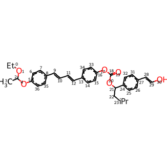 CCOC(C)Oc1ccc(C=CC=Cc2ccc(OC(=O)OC(CC(C)C)c3ccc(C=CO)cc3)cc2)cc1